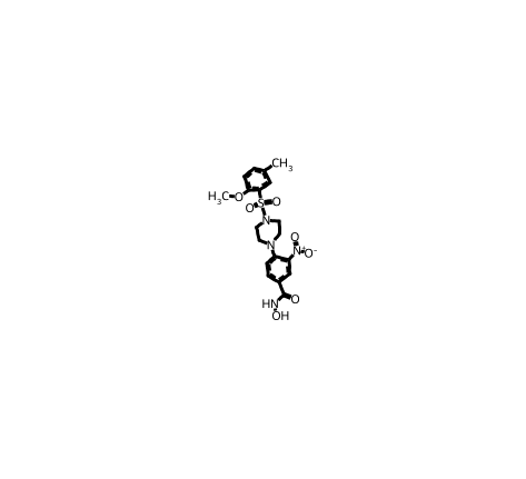 COc1ccc(C)cc1S(=O)(=O)N1CCN(c2ccc(C(=O)NO)cc2[N+](=O)[O-])CC1